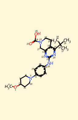 COC1CCN(c2ccc(Nc3nc4c(c(C(C)(C)C)n3)CCN(C(=O)O)C4)cc2)CC1